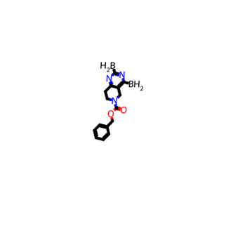 Bc1nc(B)c2c(n1)CCN(C(=O)OCc1ccccc1)C2